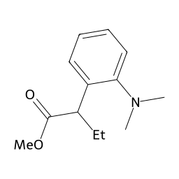 CCC(C(=O)OC)c1ccccc1N(C)C